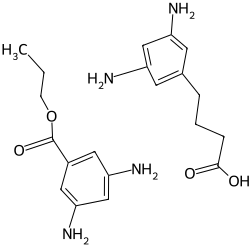 CCCOC(=O)c1cc(N)cc(N)c1.Nc1cc(N)cc(CCCC(=O)O)c1